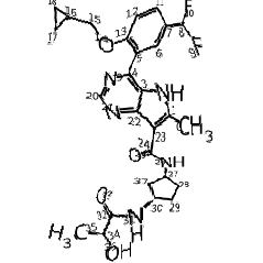 Cc1[nH]c2c(-c3cc(C(F)F)ccc3OCC3CC3)ncnc2c1C(=O)N[C@H]1CC[C@@H](NC(=O)[C@H](C)O)C1